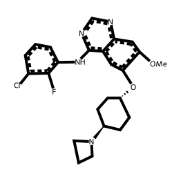 COc1cc2ncnc(Nc3cccc(Cl)c3F)c2cc1O[C@H]1CC[C@H](N2CCC2)CC1